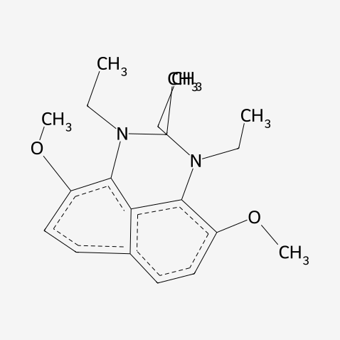 CCN(CC)c1c(OC)ccc2ccc(OC)c(N(CC)CC)c12